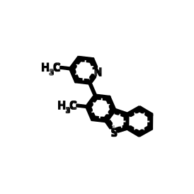 Cc1ccnc(-c2cc3c(cc2C)sc2ccccc23)c1